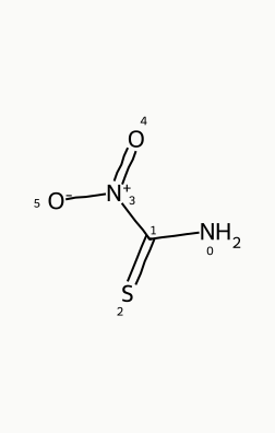 NC(=S)[N+](=O)[O-]